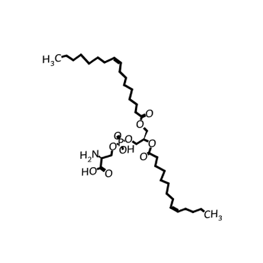 CCCC/C=C\CCCCCCCC(=O)O[C@H](COC(=O)CCCCCCC/C=C\CCCCCCC)COP(=O)(O)OC[C@H](N)C(=O)O